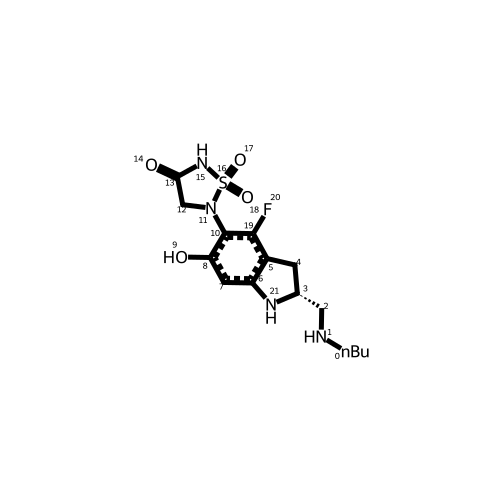 CCCCNC[C@H]1Cc2c(cc(O)c(N3CC(=O)NS3(=O)=O)c2F)N1